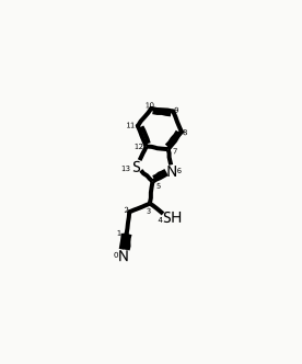 N#CCC(S)c1nc2ccccc2s1